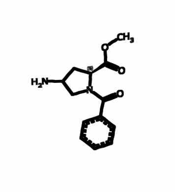 COC(=O)[C@@H]1CC(N)CN1C(=O)c1ccccc1